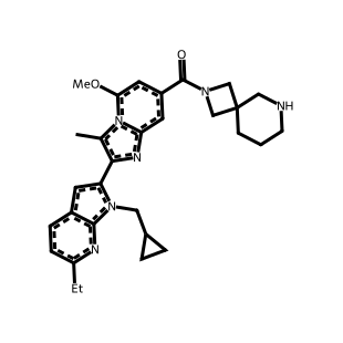 CCc1ccc2cc(-c3nc4cc(C(=O)N5CC6(CCCNC6)C5)cc(OC)n4c3C)n(CC3CC3)c2n1